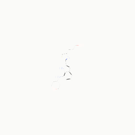 OCCCC1CSC(c2cc3cc(Cl)cc(NC4CCOCC4)c3[nH]2)=N1